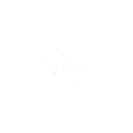 CC(C)CN(C(=O)c1nc2ccccc2n1CCn1cccn1)[C@H]1C[C@@H](C(=O)N2CCOCC2)CN(C(=O)O)C1C(C)(C)C